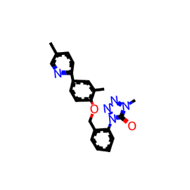 Cc1ccc(-c2ccc(OCc3ccccc3-n3nnn(C)c3=O)c(C)c2)nc1